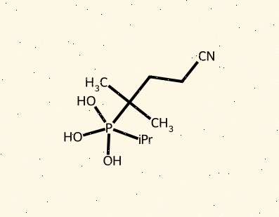 CC(C)P(O)(O)(O)C(C)(C)CCC#N